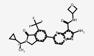 C[C@@H](C1CC1)N1Cc2cc(-c3ccn4nc(N)c(C(=O)NC5COC5)c4n3)cc(C(F)(F)F)c2C1=O